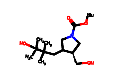 CC(C)(C)OC(=O)N1CC(CC(C)(C)[Si](C)(C)O)[C@@H](CO)C1